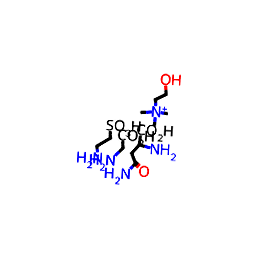 C[N+](C)(C)CCO.NC(=O)CC(N)C(=O)O.NCC(=O)O.NCCS(=O)(=O)O